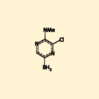 Bc1cnc(NC)c(Cl)n1